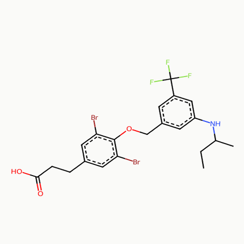 CCC(C)Nc1cc(COc2c(Br)cc(CCC(=O)O)cc2Br)cc(C(F)(F)F)c1